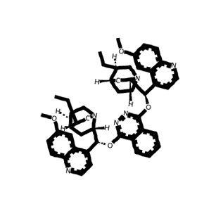 CC[C@H]1CN2CC[C@H]1C[C@H]2[C@H](Oc1nnc(O[C@H](c2ccnc3ccc(OC)cc23)[C@@H]2C[C@@H]3CCN2C[C@@H]3CC)c2ccccc12)c1ccnc2ccc(OC)cc12